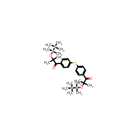 CC(C)(O[Si](C)(C)[Si](C)(C)C)C(=O)c1ccc(Sc2ccc(C(=O)C(C)(C)O[Si](C)(C)[Si](C)(C)C)cc2)cc1